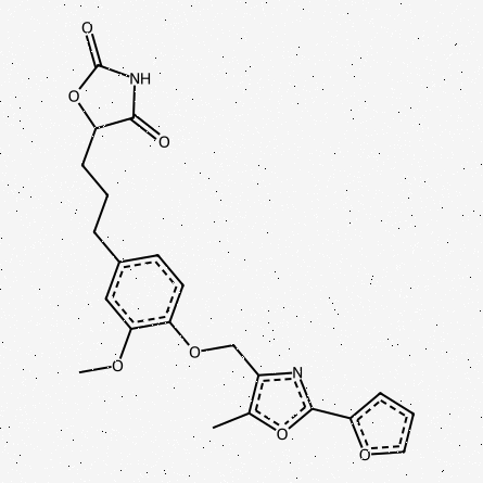 COc1cc(CCCC2OC(=O)NC2=O)ccc1OCc1nc(-c2ccco2)oc1C